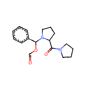 O=COC(c1ccccc1)N1CCCC1C(=O)N1CCCC1